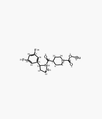 CC(C)(C)OC(=O)N1CCC(C(=O)N2N=CCC2c2cc(F)cc(F)c2)CC1